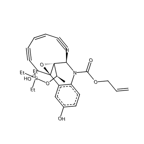 C=CCOC(=O)N1c2ccc(O)cc2[C@@]23O[C@@]2([C@@H](C)O[Si](CC)(CC)CC)[C@@H]1C#C/C=C\C#C[C@H]3O